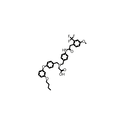 CCCCOc1cccc(Oc2ccc(CN(CC(=O)O)Cc3ccc(NC(=O)Cc4ccc(OC)cc4C(F)(F)F)cc3)cc2)c1